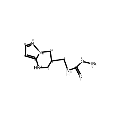 CC(C)(C)OC(=O)NCC1CNc2ccnn2C1